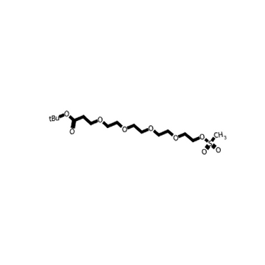 CC(C)(C)OC(=O)CCOCCOCCOCCOCCOS(C)(=O)=O